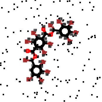 O=C(OC(Br)c1cc(Br)c(Br)c(Br)c1Br)c1c(Br)c(Br)c(C(=O)OC(Br)c2cc(Br)c(Br)c(Br)c2Br)c(Br)c1Br